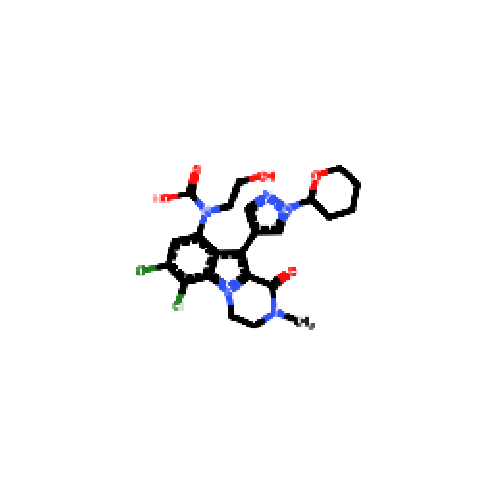 CN1CCn2c(c(-c3cnn(C4CCCCO4)c3)c3c(N(CCO)C(=O)O)cc(Cl)c(Cl)c32)C1=O